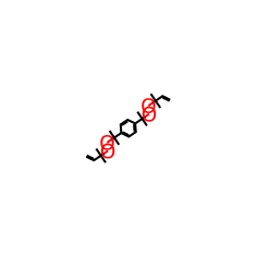 C=CC(C)(C)OOC(C)(C)c1ccc(C(C)(C)OOC(C)(C)C=C)cc1